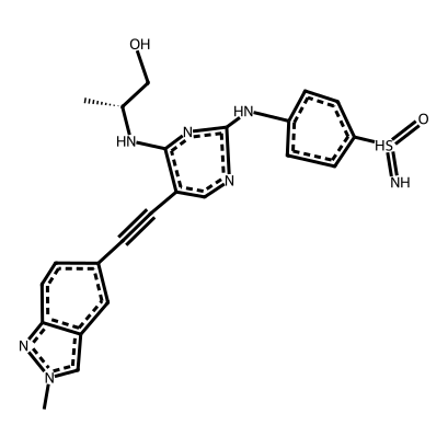 C[C@H](CO)Nc1nc(Nc2ccc([SH](=N)=O)cc2)ncc1C#Cc1ccc2nn(C)cc2c1